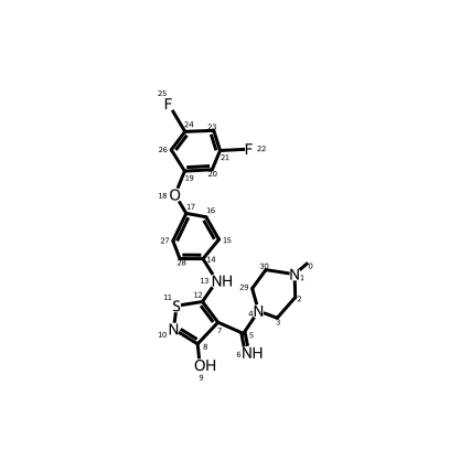 CN1CCN(C(=N)c2c(O)nsc2Nc2ccc(Oc3cc(F)cc(F)c3)cc2)CC1